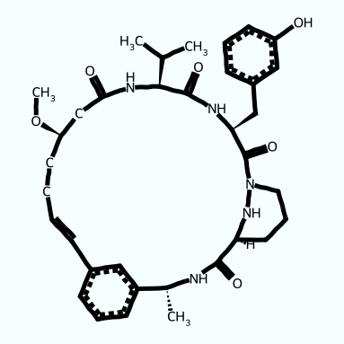 CO[C@@H]1CC/C=C/c2cccc(c2)[C@@H](C)NC(=O)[C@@H]2CCCN(N2)C(=O)[C@H](Cc2cccc(O)c2)NC(=O)[C@H](C(C)C)NC(=O)C1